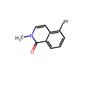 CC(C)c1cccc2c(=O)n(C)ccc12